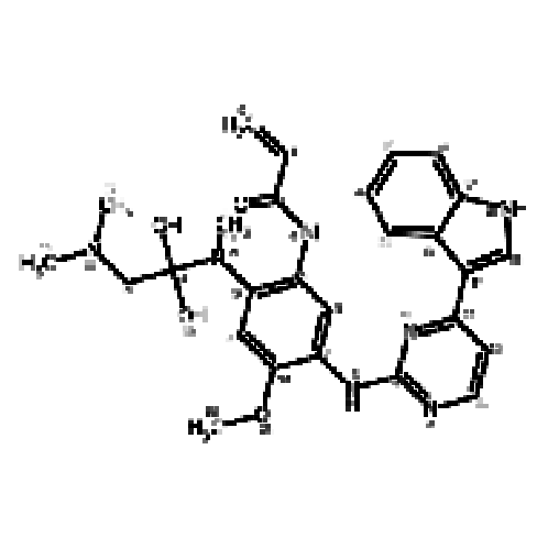 C=CC(=O)Nc1cc(Nc2nccc(-c3c[nH]c4ccccc34)n2)c(OC)cc1N(C)C(O)(O)CN(C)C